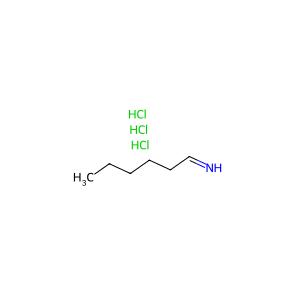 CCCCCC=N.Cl.Cl.Cl